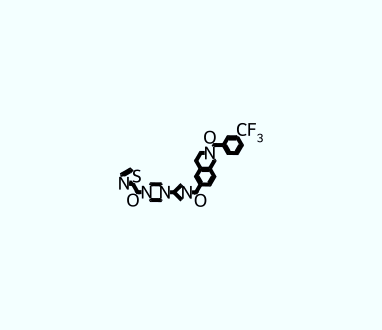 O=C(c1cccc(C(F)(F)F)c1)N1CCc2cc(C(=O)N3CC(N4CCN(C(=O)c5nccs5)CC4)C3)ccc2C1